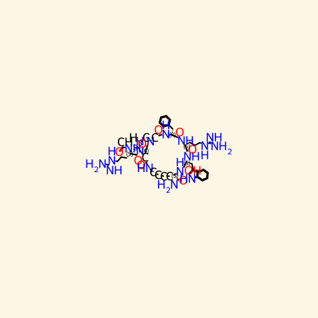 CC(=O)N[C@@H](CCCNC(=N)N)C(=O)N[C@H]1CC(=O)NCCCC[C@@H](C(N)=O)NC(O)[C@H](Cc2c[nH]c3ccccc23)NC(=O)[C@H](CCCNC(=N)N)NC(=O)[C@@H](Cc2ccccc2)NC(=O)CN(C)C1=O